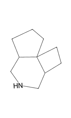 C1CC2CNCC3CCC23C1